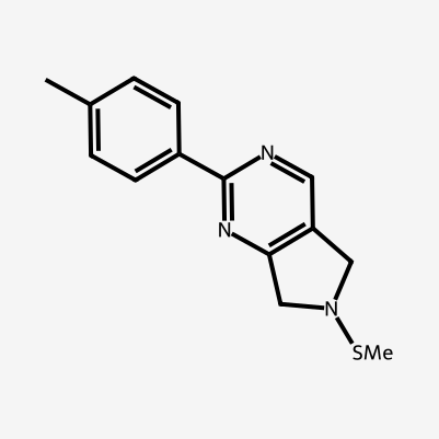 CSN1Cc2cnc(-c3ccc(C)cc3)nc2C1